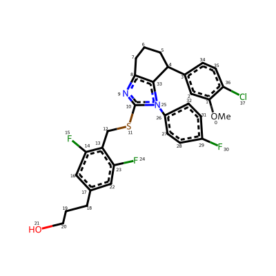 COc1cc(C2CCCc3nc(SCc4c(F)cc(CCCO)cc4F)n(-c4ccc(F)cc4)c32)ccc1Cl